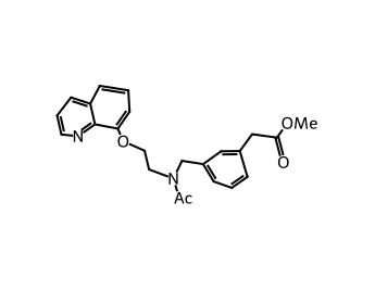 COC(=O)Cc1cccc(CN(CCOc2cccc3cccnc23)C(C)=O)c1